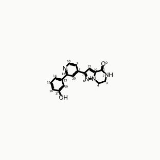 O=C1NCCn2nc(-c3ccnc(-c4cccc(O)c4)c3)cc21